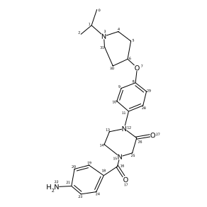 CC(C)N1CCC(Oc2ccc(N3CCN(C(=O)c4ccc(N)cc4)CC3=O)cc2)CC1